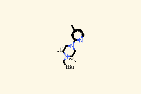 Cc1ccnc(N2C[C@@H](C)N(CC(C)(C)C)[C@@H](C)C2)c1